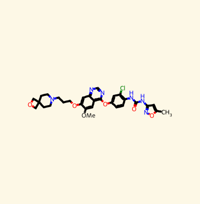 COc1cc2c(Oc3ccc(NC(=O)Nc4cc(C)on4)c(Cl)c3)ncnc2cc1OCCCN1CCC2(CC1)COC2